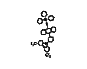 FC(F)(F)c1ccc2c(c1)c1cc(C(F)(F)F)ccc1n2-c1cccc(-c2c3ccccc3c(C#C[Si](c3ccccc3)(c3ccccc3)c3ccccc3)c3ccccc23)c1